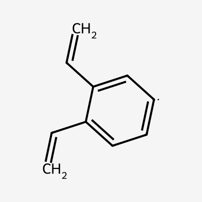 C=Cc1c[c]ccc1C=C